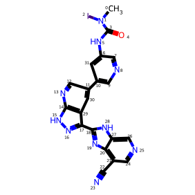 CN(I)C(=O)Nc1cncc(-c2cnc3[nH]nc(-c4nc5c(C#N)cncc5[nH]4)c3c2)c1